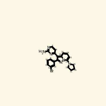 Nc1nccc(-c2c(-c3cccc(Br)c3)nn3c(N4CCCC4)cccc23)n1